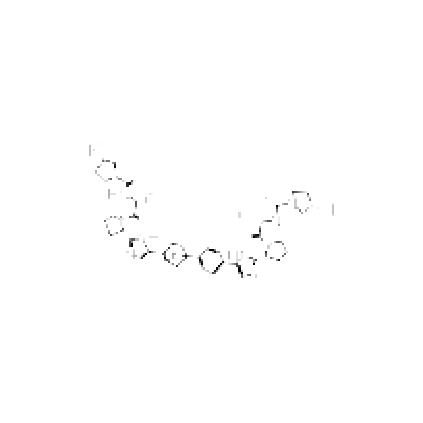 CC(C)[C@H](NC(=O)N1CC[C@@H](O)C1)C(=O)N1CCC[C@H]1c1ncc(-c2ccc(C34CCC(c5cnc([C@@H]6CCCN6C(=O)[C@@H](NC(=O)N6CC[C@@H](O)C6)C(C)C)[nH]5)(CC3)CC4)cc2)[nH]1